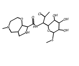 CSC1OC(C(NC(=O)C2NCC3CN(C)CCOC32)C(C)Cl)C(O)C(O)C1O